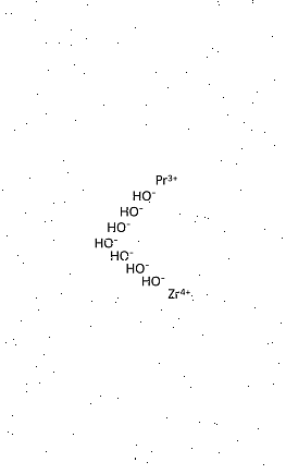 [OH-].[OH-].[OH-].[OH-].[OH-].[OH-].[OH-].[Pr+3].[Zr+4]